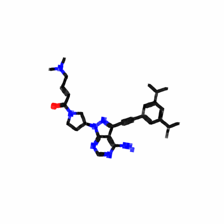 CC(C)c1cc(C#Cc2nn([C@H]3CCN(C(=O)C=CCN(C)C)C3)c3ncnc(N)c23)cc(C(C)C)c1